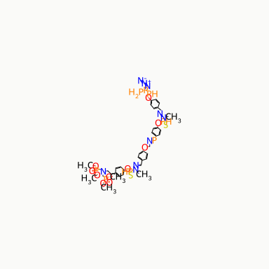 COP(=O)(CN(CCc1ccc(O[PH](=S)N(C)N=Cc2ccc(OCN=Pc3ccc(O[PH](=S)N(C)N=Cc4ccc(OPP(P)N=[N+]=[N-])cc4)cc3)cc2)cc1)CP(=O)(OC)OC)OC